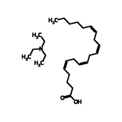 CCCCC/C=C\C/C=C\C/C=C\C/C=C\CCCC(=O)O.CCN(CC)CC